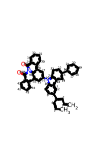 C=C/C=C(\C=C/C)c1ccc2c(c1)c1cc(-c3ccccc3)ccc1n2-c1cc2c3ccccc3c(=O)n3c(=O)c4ccccc4c(c1)c23